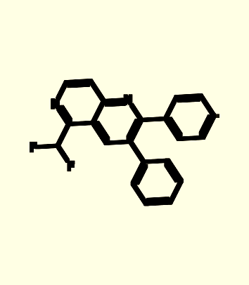 FC(F)c1nccc2nc(-c3cc[c]cc3)c(-c3ccccc3)cc12